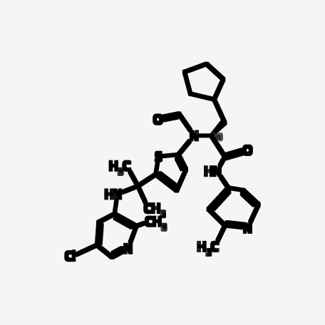 Cc1cc(NC(=O)[C@H](CC2CCCC2)N(C=O)c2ccc(C(C)(C)Nc3cc(Cl)cnc3C)s2)ccn1